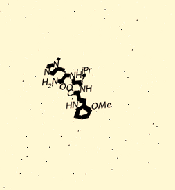 COc1cccc2[nH]c(C(=O)N[C@@H](CC(C)C)C(=O)N[C@@H](Cc3cncn3C)C(N)=O)cc12